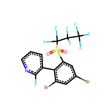 O=S(=O)(c1cc(Br)[c]c(Br)c1-c1cccnc1F)C(F)(F)C(F)(F)C(F)(F)F